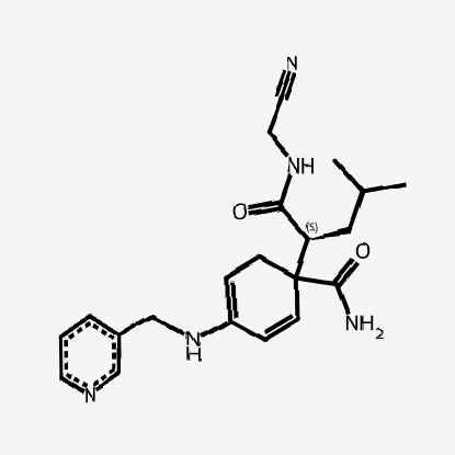 CC(C)C[C@H](C(=O)NCC#N)C1(C(N)=O)C=CC(NCc2cccnc2)=CC1